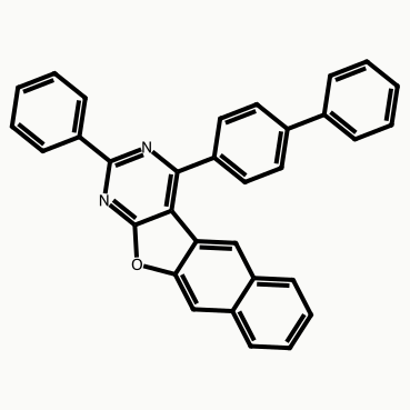 c1ccc(-c2ccc(-c3nc(-c4ccccc4)nc4oc5cc6ccccc6cc5c34)cc2)cc1